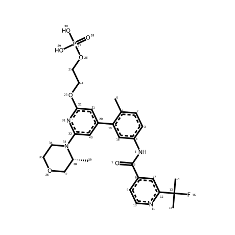 Cc1ccc(NC(=O)c2ccnc(C(C)(C)F)c2)cc1-c1cc(OCCOP(=O)(O)O)nc(N2CCOC[C@H]2C)c1